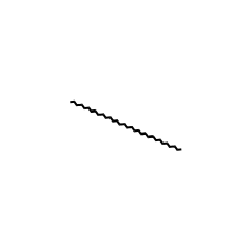 CCCCCCC=CCCCCCCCCCCCCC=CC=CCCCCCCCC